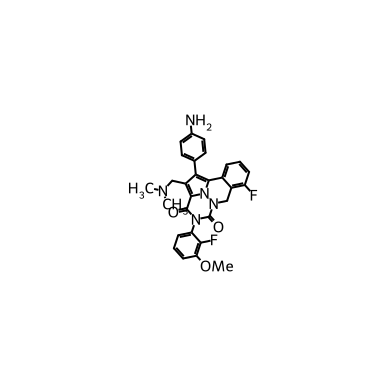 COc1cccc(-n2c(=O)c3c(CN(C)C)c(-c4ccc(N)cc4)c4n3n(c2=O)Cc2c(F)cccc2-4)c1F